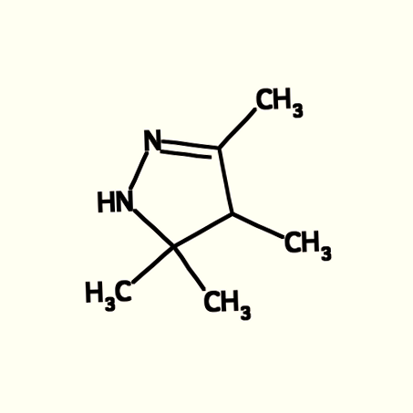 CC1=NNC(C)(C)C1C